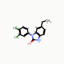 CCc1ccc2[nH]c(=O)n(-c3ccc(Cl)c(Cl)c3)c2c1